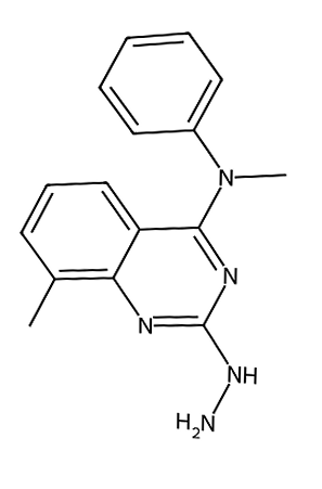 Cc1cccc2c(N(C)c3ccccc3)nc(NN)nc12